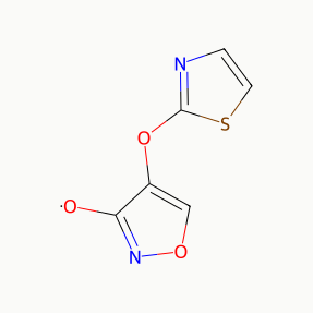 [O]c1nocc1Oc1nccs1